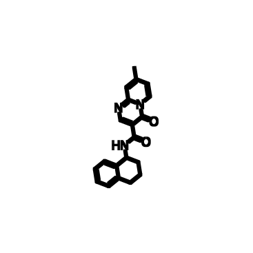 Cc1ccn2c(=O)c(C(=O)NC3CCCc4ccccc43)cnc2c1